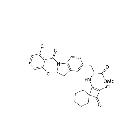 COC(=O)C(Cc1ccc2c(c1)CCN2C(=O)c1c(Cl)cccc1Cl)NC1=C(Cl)C(=O)C12CCCCC2